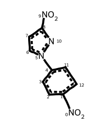 O=[N+]([O-])c1ccc(-n2ccc([N+](=O)[O-])n2)cc1